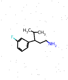 CC(C)C(CCN)c1cccc(F)c1